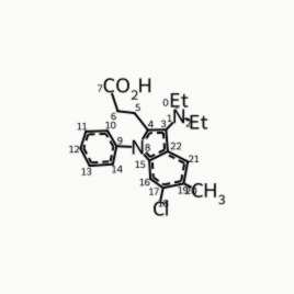 CCN(CC)c1c(CCC(=O)O)n(-c2ccccc2)c2cc(Cl)c(C)cc12